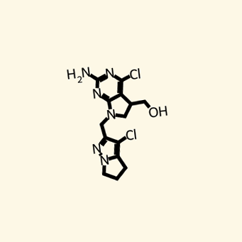 Nc1nc(Cl)c2c(n1)N(Cc1nn3c(c1Cl)CCC3)CC2CO